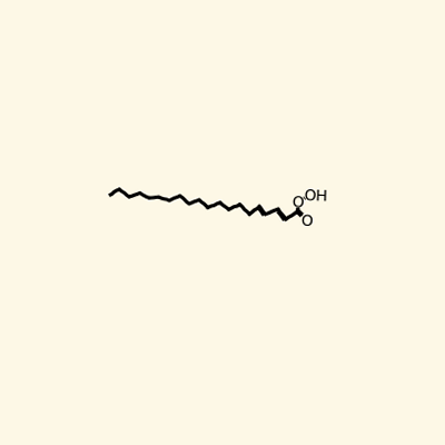 CCCCCCCCCCCCCCCC=CC=CC(=O)OO